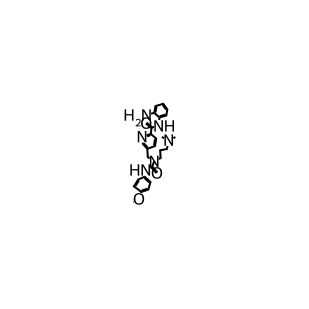 COc1ccc(NC(=O)N(CCCN(C)C)Cc2ccc(C(=O)Nc3ccccc3N)nc2)cc1